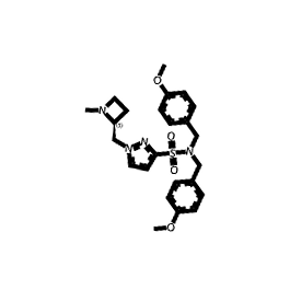 COc1ccc(CN(Cc2ccc(OC)cc2)S(=O)(=O)c2ccn(C[C@@H]3CCN3C)n2)cc1